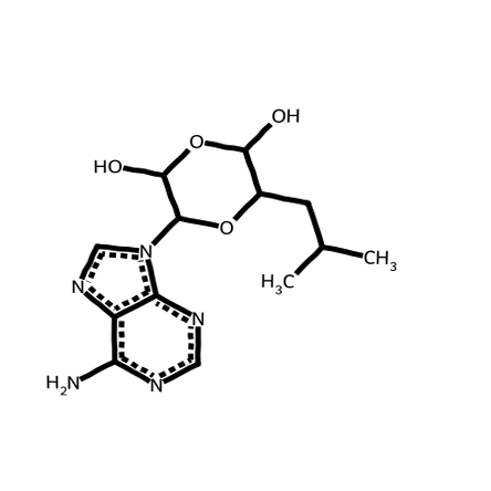 CC(C)CC1OC(n2cnc3c(N)ncnc32)C(O)OC1O